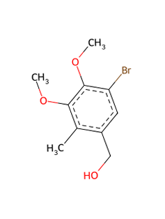 COc1c(Br)cc(CO)c(C)c1OC